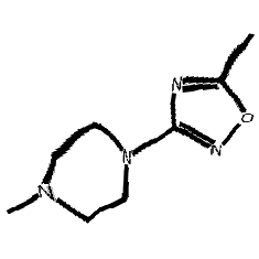 Cc1nc(N2CCN(C)CC2)no1